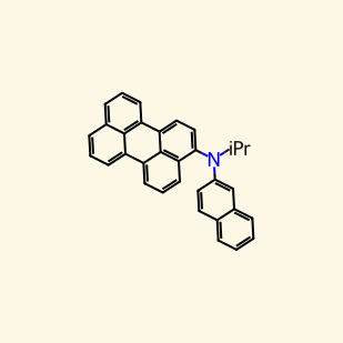 CC(C)N(c1ccc2ccccc2c1)c1ccc2c3cccc4cccc(c5cccc1c52)c43